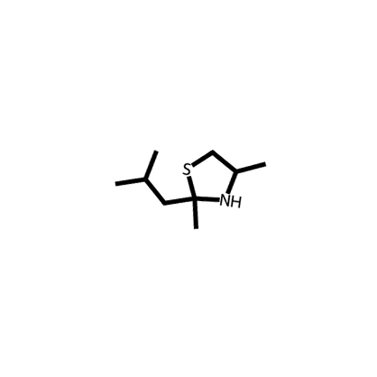 CC(C)CC1(C)NC(C)CS1